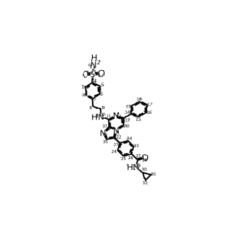 NS(=O)(=O)c1ccc(CCNc2nc(-c3ccccc3)cn3c(-c4ccc(C(=O)NC5CC5)cc4)cnc23)cc1